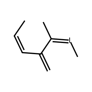 C=C(/C=C\C)/C(C)=I\C